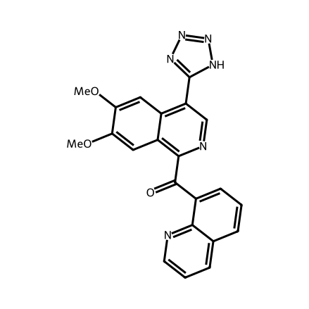 COc1cc2c(-c3nnn[nH]3)cnc(C(=O)c3cccc4cccnc34)c2cc1OC